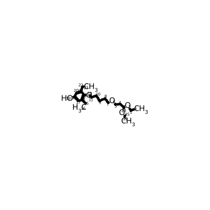 CCOC(CCOCCCCCOc1c(CC)cc(O)cc1CC)OCC